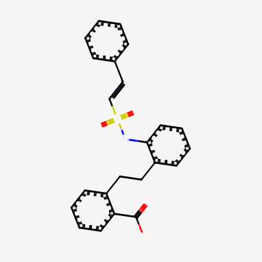 O=C(O)c1ccccc1CCc1ccccc1NS(=O)(=O)/C=C/c1ccccc1